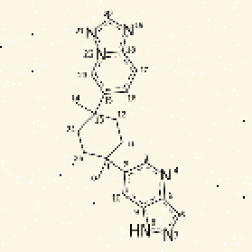 CC1(c2cnc3cn[nH]c3c2)CCC(C)(c2ccc3ncnn3c2)CC1